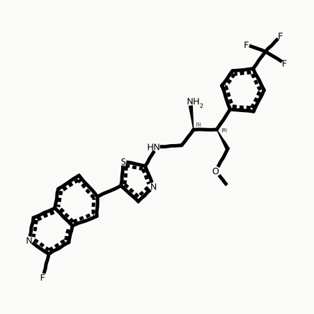 COC[C@H](c1ccc(C(F)(F)F)cc1)[C@H](N)CNc1ncc(-c2ccc3cnc(F)cc3c2)s1